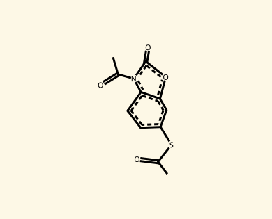 CC(=O)Sc1ccc2c(c1)oc(=O)n2C(C)=O